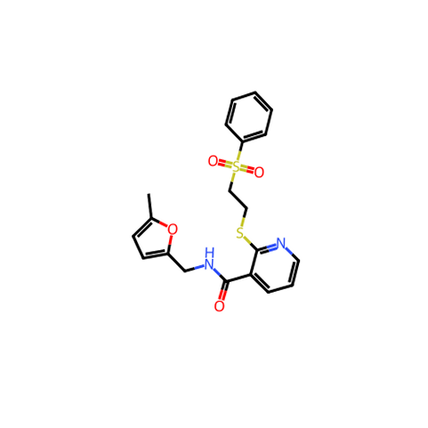 Cc1ccc(CNC(=O)c2cccnc2SCCS(=O)(=O)c2ccccc2)o1